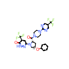 O=C([C@@H]1C[C@H](Oc2ccccc2)CN1c1cc(C(F)(F)F)c(=O)[nH]n1)N1CCN(c2ncc(C(F)(F)F)cn2)CC1